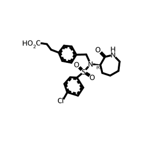 O=C(O)CCc1ccc(CN([C@@H]2CCCCNC2=O)S(=O)(=O)c2ccc(Cl)cc2)cc1